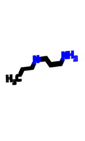 CCC/N=C\C=C/N